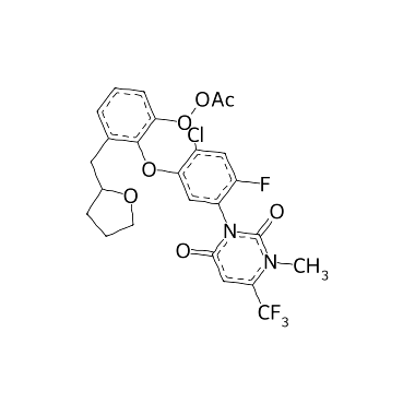 CC(=O)OOc1cccc(CC2CCCO2)c1Oc1cc(-n2c(=O)cc(C(F)(F)F)n(C)c2=O)c(F)cc1Cl